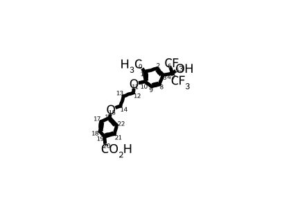 Cc1cc(C(O)(C(F)(F)F)C(F)(F)F)ccc1OCCCOc1ccc(C(=O)O)cc1